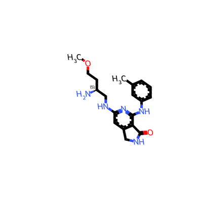 COCC[C@H](N)CNc1cc2c(c(Nc3cccc(C)c3)n1)C(=O)NC2